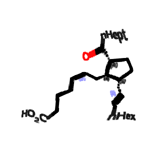 CCCCCC/C=C/[C@H]1CC[C@@H](C(=O)CCCCCCC)[C@@H]1C/C=C\CCCC(=O)O